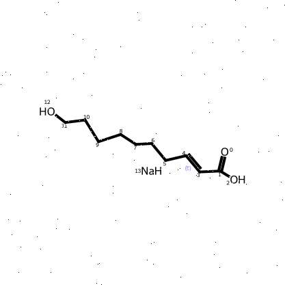 O=C(O)/C=C/CCCCCCCO.[NaH]